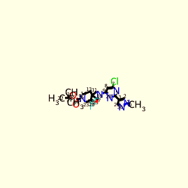 Cn1cc(-c2nc(Cl)cc(N3CC4(CCN(C(=O)OC(C)(C)C)CC4(F)F)C3)n2)cn1